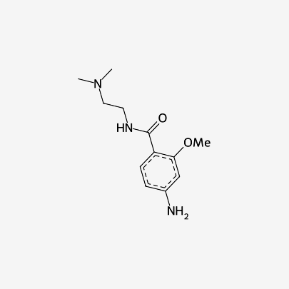 COc1cc(N)ccc1C(=O)NCCN(C)C